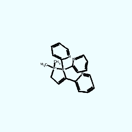 C[P+]1(C)CC=C(c2ccccn2)[B-]1(c1ccccn1)c1ccccn1